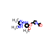 CNc1cc(C)nc(Nc2ccc(OC)c(OCC3CCN(C4COC4)C3)c2)n1